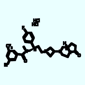 CN(C[C@@H](CCN1CC(N2CCN3C(=O)CC[C@H]3C2)C1)c1ccc(F)cc1)C(=O)c1cc(Br)cc(C(F)(F)F)c1.Cl.Cl